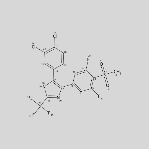 CS(=O)(=O)c1c(F)cc(-c2nc(C(F)(F)F)[nH]c2-c2ccc(Cl)c(Cl)c2)cc1F